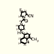 Cc1ccc(NC2CCN(CC(=O)N3C[C@@H](F)CC3C#N)CC2)c2cccnc12